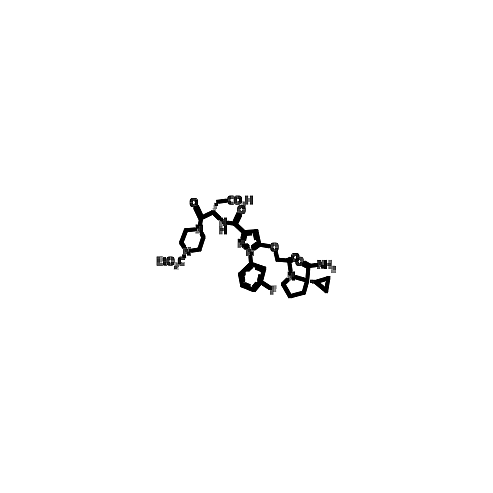 CCOC(=O)N1CCN(C(=O)[C@H](CC(=O)O)NC(=O)c2cc(OCC(=O)N3CCC[C@@]3(C(N)=O)C3CC3)n(-c3cccc(F)c3)n2)CC1